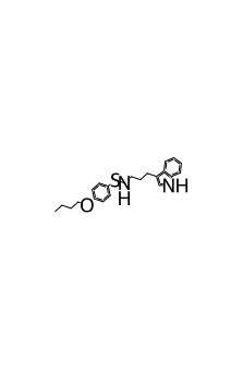 CCCCOc1ccc(SNCCCc2c[nH]c3ccccc23)cc1